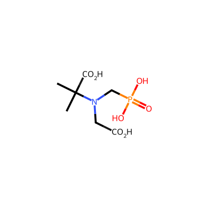 CC(C)(C(=O)O)N(CC(=O)O)CP(=O)(O)O